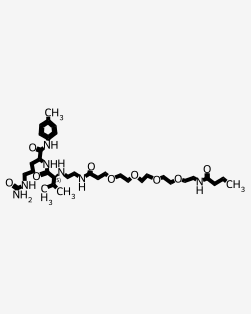 CCCC(=O)NCCOCCOCCOCCOCCC(=O)NCCN[C@H](C(=O)NC(CCCNC(N)=O)C(=O)Nc1ccc(C)cc1)C(C)C